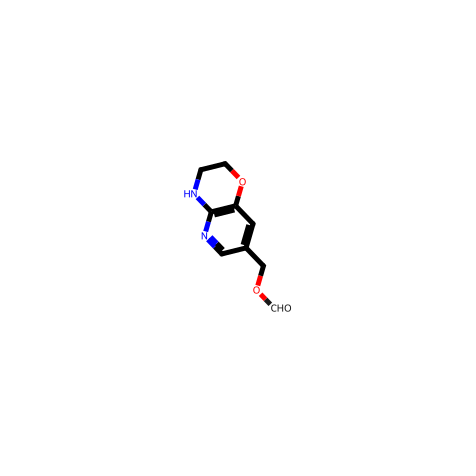 O=COCc1cnc2c(c1)OCCN2